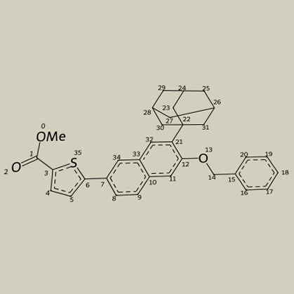 COC(=O)c1ccc(-c2ccc3cc(OCc4ccccc4)c(C45CC6CC(CC(C6)C4)C5)cc3c2)s1